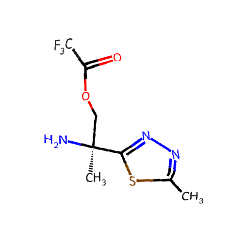 Cc1nnc([C@@](C)(N)COC(=O)C(F)(F)F)s1